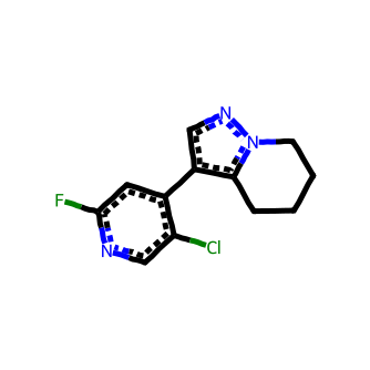 Fc1cc(-c2cnn3c2CCCC3)c(Cl)cn1